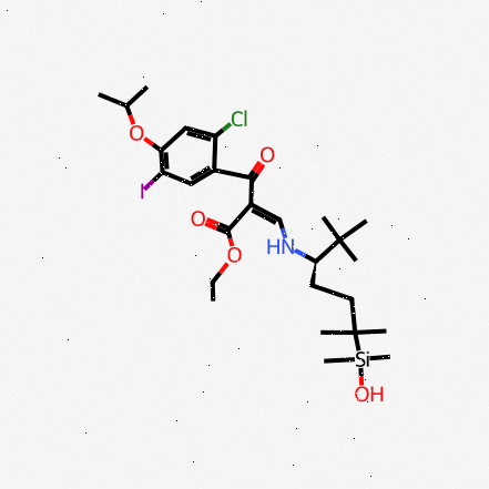 CCOC(=O)C(=CN[C@H](CCC(C)(C)[Si](C)(C)O)C(C)(C)C)C(=O)c1cc(I)c(OC(C)C)cc1Cl